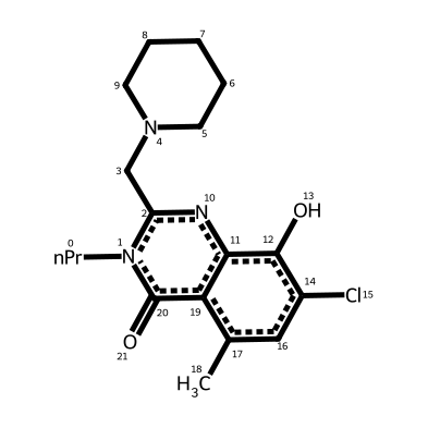 CCCn1c(CN2CCCCC2)nc2c(O)c(Cl)cc(C)c2c1=O